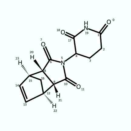 O=C1CCC(N2C(=O)[C@@H]3[C@H](C2=O)[C@H]2C=C[C@@H]3C2)C(=O)N1